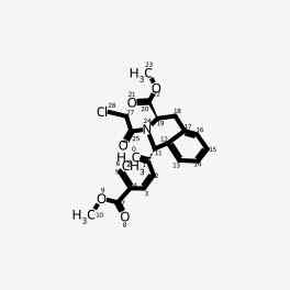 C=C(/C=C\C(=C/C)C(=O)OC)[C@H]1c2ccccc2C[C@H](C(=O)OC)N1C(=O)CCl